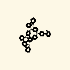 CC1C=CC=CC1c1ccc(N(c2ccccc2)c2cccc(N(c3ccc4c(c3)c3cccc5c3n4-c3ccccc3-c3ccc4c(oc6ccccc64)c3-5)c3cccc4c3oc3ccccc34)c2)cc1